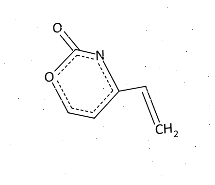 C=Cc1ccoc(=O)n1